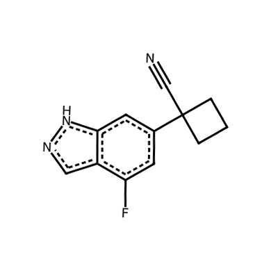 N#CC1(c2cc(F)c3cn[nH]c3c2)CCC1